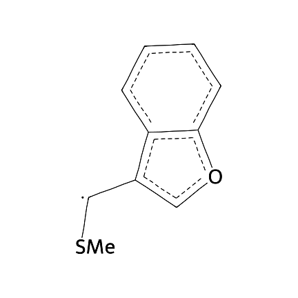 CS[CH]c1coc2ccccc12